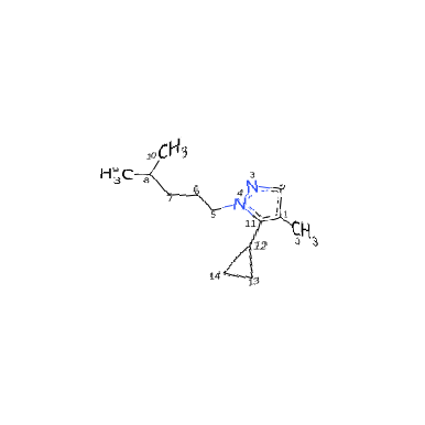 Cc1[c]nn(CCCC(C)C)c1C1CC1